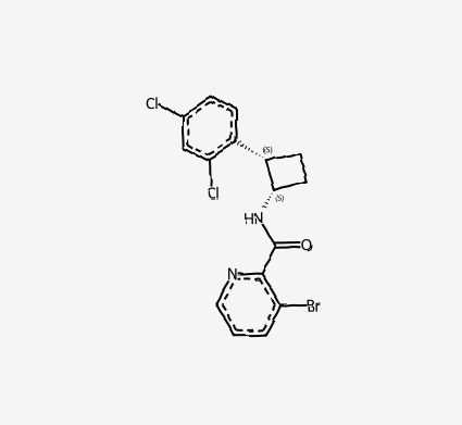 O=C(N[C@H]1CC[C@H]1c1ccc(Cl)cc1Cl)c1ncccc1Br